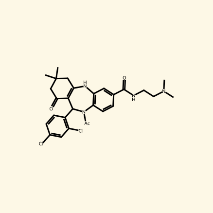 CC(=O)N1c2ccc(C(=O)NCCN(C)C)cc2NC2=C(C(=O)CC(C)(C)C2)C1c1ccc(Cl)cc1Cl